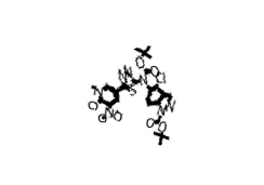 Cn1cc(-c2nnc(N(C(=O)OC(C)(C)C)c3ccc4c(cnn4C(=O)OC(C)(C)C)c3Cl)s2)cc([N+](=O)[O-])c1=O